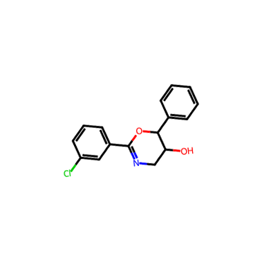 OC1CN=C(c2cccc(Cl)c2)OC1c1ccccc1